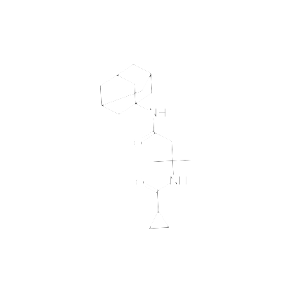 CC(C)(CC(=O)NC12CC3CC(CC(C3)C1)C2)NC(=O)C1CC1